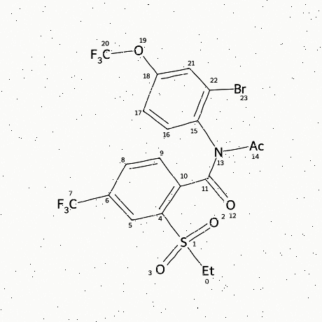 CCS(=O)(=O)c1cc(C(F)(F)F)ccc1C(=O)N(C(C)=O)c1ccc(OC(F)(F)F)cc1Br